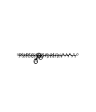 CCCCCCCCCCCCCCCCCCCCCC(=O)OC(CC=O)CCCCCCCCCCC